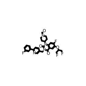 O=CN1CCC(n2c(=O)n(Cc3ccc(-c4cccc(F)c4)nc3)c(=O)c3cc(OC(CF)CF)c(F)cc32)CC1